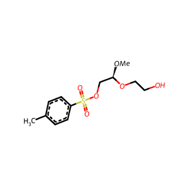 CO[C@H](COS(=O)(=O)c1ccc(C)cc1)OCCO